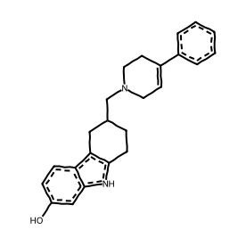 Oc1ccc2c3c([nH]c2c1)CCC(CN1CC=C(c2ccccc2)CC1)C3